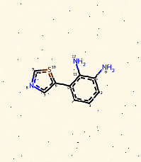 Nc1cccc(-c2cncs2)c1N